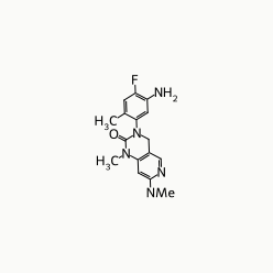 CNc1cc2c(cn1)CN(c1cc(N)c(F)cc1C)C(=O)N2C